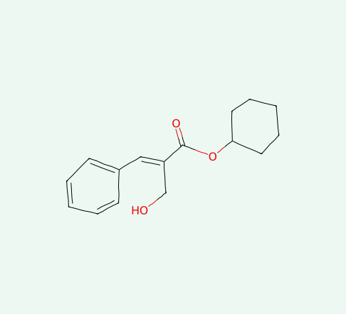 O=C(OC1CCCCC1)C(=Cc1ccccc1)CO